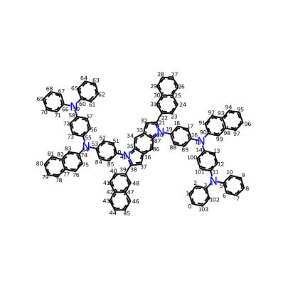 c1ccc(N(c2ccccc2)c2ccc(N(c3ccc(-n4c(-c5ccc6ccccc6c5)cc5cc6c(cc(-c7ccc8ccccc8c7)n6-c6ccc(N(c7ccc(N(c8ccccc8)c8ccccc8)cc7)c7ccc8ccccc8c7)cc6)cc54)cc3)c3ccc4ccccc4c3)cc2)cc1